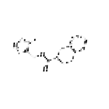 Cn1cncc1COC(=O)N1CCc2ccccc2C1